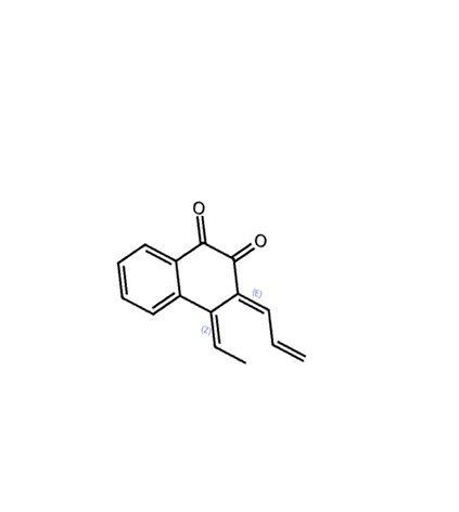 C=C/C=C1/C(=O)C(=O)c2ccccc2/C1=C/C